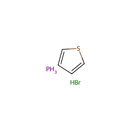 Br.P.c1ccsc1